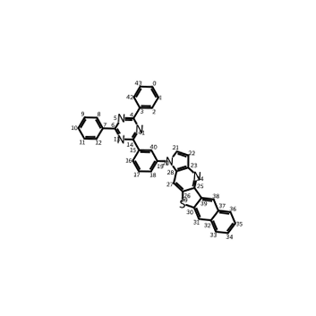 c1ccc(-c2nc(-c3ccccc3)nc(-c3cccc(-n4ccc5nc6c(cc54)sc4cc5ccccc5cc46)c3)n2)cc1